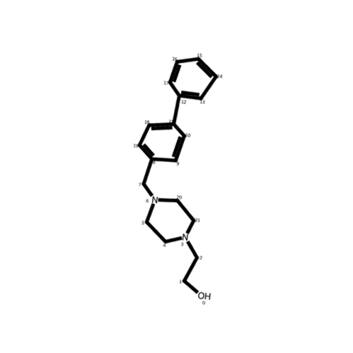 OCCN1CCN(Cc2ccc(-c3ccccc3)cc2)CC1